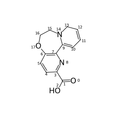 O=C(O)c1ccc2c(n1)C1=CC=CCN1CCO2